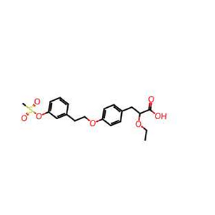 CCOC(Cc1ccc(OCCc2cccc(OS(C)(=O)=O)c2)cc1)C(=O)O